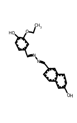 CCOc1cc(/C=N/N=C/c2ccc3cc(O)ccc3c2)ccc1O